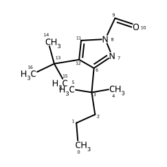 CCCC(C)(C)c1nn(C=O)cc1C(C)(C)C